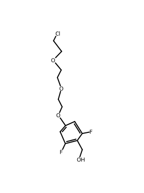 OCc1c(F)cc(OCCOCCOCCCl)cc1F